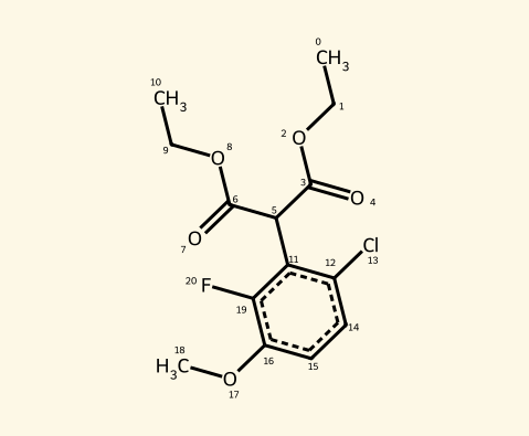 CCOC(=O)C(C(=O)OCC)c1c(Cl)ccc(OC)c1F